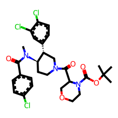 CN(C(=O)c1ccc(Cl)cc1)[C@@H]1CCN(C(=O)C2COCCN2C(=O)OC(C)(C)C)C[C@H]1c1ccc(Cl)c(Cl)c1